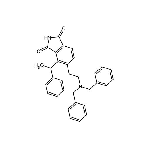 CC(c1ccccc1)c1c(CCN(Cc2ccccc2)Cc2ccccc2)ccc2c1C(=O)NC2=O